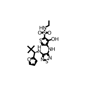 CCNS(=O)(=O)c1scc(Nc2nsnc2N[C@@H](c2ccco2)C(C)(C)C)c1O